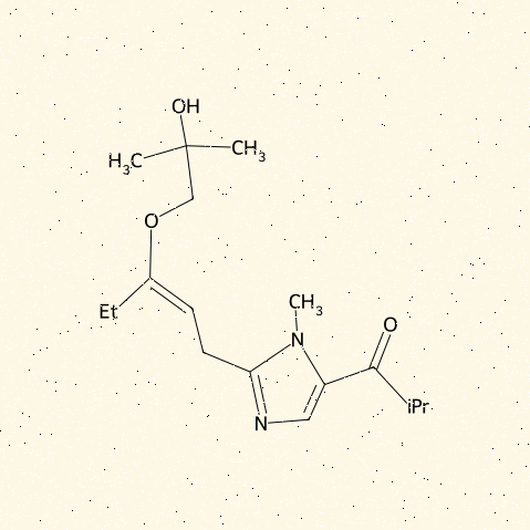 CC/C(=C\Cc1ncc(C(=O)C(C)C)n1C)OCC(C)(C)O